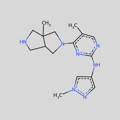 Cc1cnc(Nc2cnn(C)c2)nc1N1CC2CNCC2(C)C1